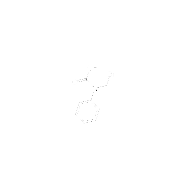 O=C(N(CBr)c1ccccc1)C(F)(F)F